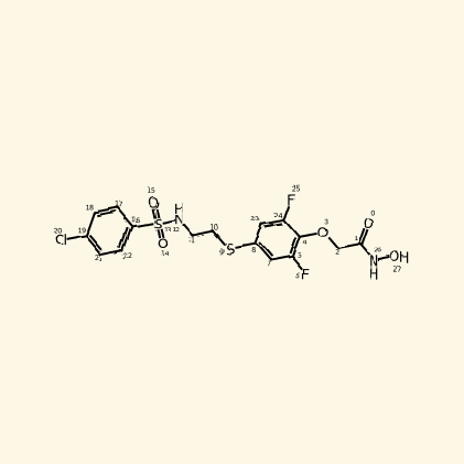 O=C(COc1c(F)cc(SCCNS(=O)(=O)c2ccc(Cl)cc2)cc1F)NO